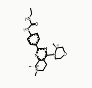 CCNC(=O)Nc1ccc(-c2nc3c(c(N4CCOC[C@@H]4C)n2)CCN(C)[C@@H]3C)cc1